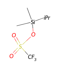 CC(C)[Si](C)(C)OS(=O)(=O)C(F)(F)F